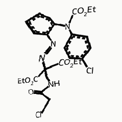 CCOC(=O)N(c1ccc(Cl)cc1)c1ccccc1N=NC(NC(=O)CCl)(C(=O)OCC)C(=O)OCC